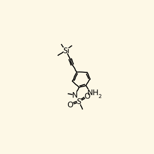 CN(c1cc(C#C[Si](C)(C)C)ccc1N)S(C)(=O)=O